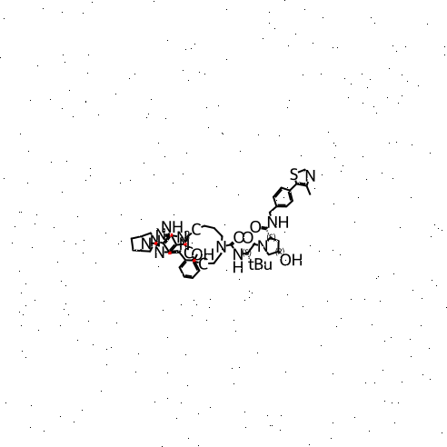 Cc1ncsc1-c1ccc(CNC(=O)[C@@H]2C[C@@H](O)CN2C(=O)[C@@H](NC(=O)N2CCCCCC(c3cnc(N4C5CCC4CN(c4cc(-c6ccccc6O)nnc4N)C5)nc3)CCCCC2)C(C)(C)C)cc1